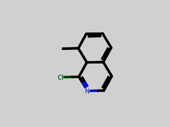 CC1C=CC=C2C=CN=C(Cl)C21